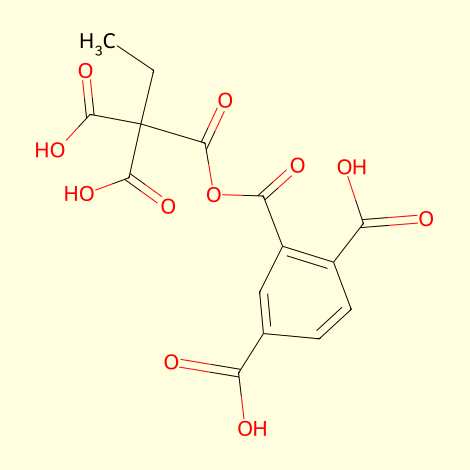 CCC(C(=O)O)(C(=O)O)C(=O)OC(=O)c1cc(C(=O)O)ccc1C(=O)O